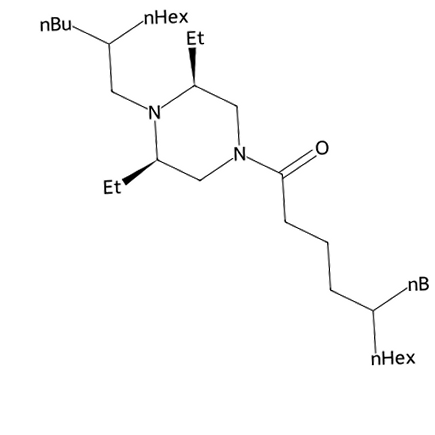 CCCCCCC(CCCC)CCCC(=O)N1C[C@@H](CC)N(CC(CCCC)CCCCCC)[C@@H](CC)C1